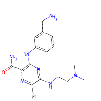 CCc1nc(C(N)=O)c(Nc2cccc(CN)c2)nc1NCCN(C)C